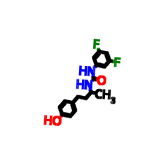 CC(CCc1ccc(O)cc1)NC(=O)Nc1cc(F)cc(F)c1